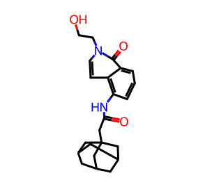 O=C(CC12CC3CC(CC(C3)C1)C2)Nc1cccc2c(=O)n(CCO)ccc12